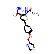 NC(=O)c1cc(-c2ccc(OCc3cscn3)cc2)sc1NC(=O)[AsH2]